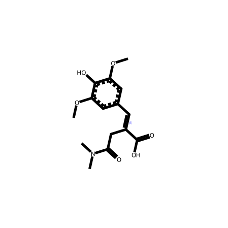 COc1cc(/C=C(\CC(=O)N(C)C)C(=O)O)cc(OC)c1O